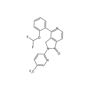 O=C1c2ccnc(-c3ccccc3OC(F)F)c2CN1c1ccc(C(F)(F)F)cn1